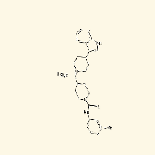 O=C(O)C(C1CCN(C(=S)Nc2cccc(Br)c2)CC1)N1CCC(c2c[nH]c3ccccc23)CC1